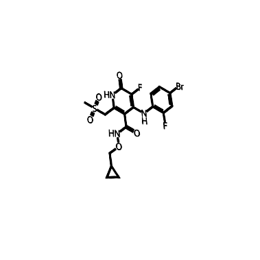 CS(=O)(=O)Cc1[nH]c(=O)c(F)c(Nc2ccc(Br)cc2F)c1C(=O)NOCC1CC1